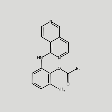 CCC(=O)Oc1c(N)cccc1Nc1nccc2cnccc12